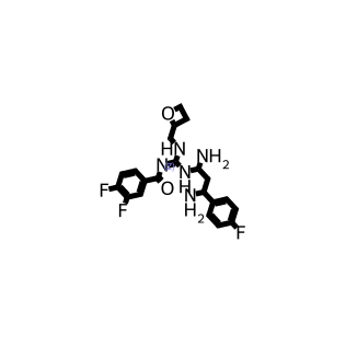 NC(CC(N)c1ccc(F)cc1)N/C(=N\C(=O)c1ccc(F)c(F)c1)NCC1CCO1